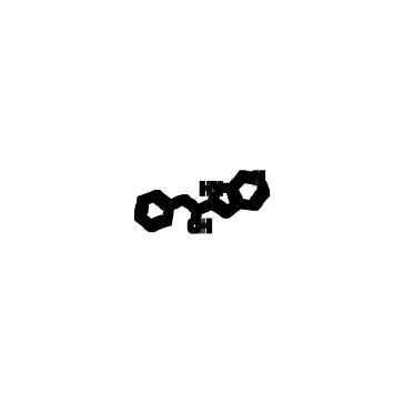 OC(Cc1ccccc1)c1cc2ccncc2[nH]1